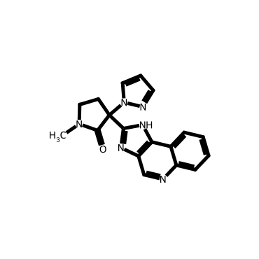 CN1CCC(c2nc3cnc4ccccc4c3[nH]2)(n2cccn2)C1=O